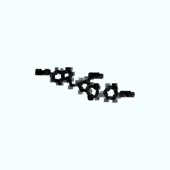 COc1cnc2c(c1)ncn2Cc1cc(OC)c2c(c1)OC[C@@H](c1ccc(OC)nc1)O2